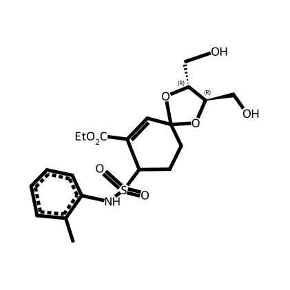 CCOC(=O)C1=CC2(CCC1S(=O)(=O)Nc1ccccc1C)O[C@H](CO)[C@@H](CO)O2